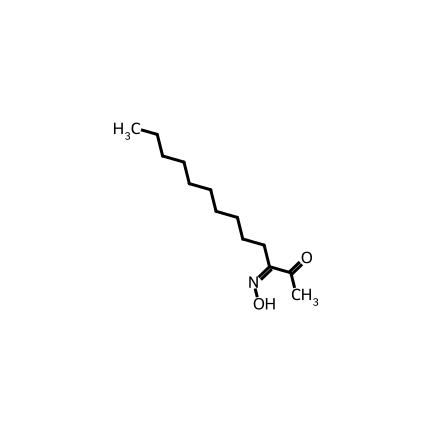 CCCCCCCCCCC(=NO)C(C)=O